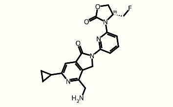 NCc1nc(C2CC2)cc2c1CN(c1cccc(N3C(=O)OC[C@@H]3CF)n1)C2=O